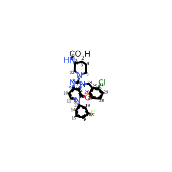 O=C(O)N[C@@H]1CCCN(c2nc3ccn(-c4cccc(F)c4)c(=O)c3n2Cc2ccccc2Cl)C1